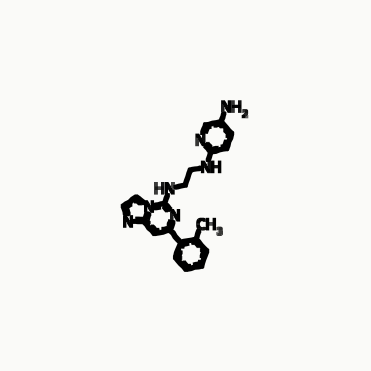 Cc1ccccc1-c1cc2nccn2c(NCCNc2ccc(N)cn2)n1